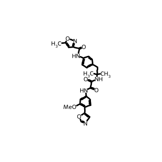 COc1cc(NC(=O)C(=O)NC(C)(C)Cc2ccc(NC(=O)c3cc(C)on3)cc2)ccc1-c1cnco1